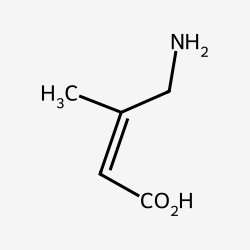 CC(=CC(=O)O)CN